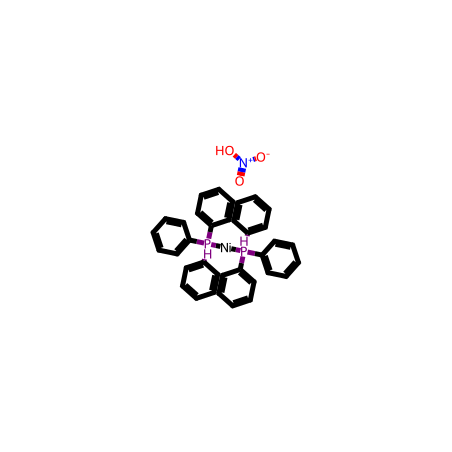 O=[N+]([O-])O.c1ccc([PH]([Ni][PH](c2ccccc2)(c2ccccc2)c2ccccc2)(c2ccccc2)c2ccccc2)cc1